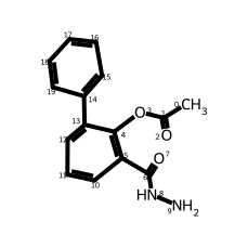 CC(=O)Oc1c(C(=O)NN)cccc1-c1ccccc1